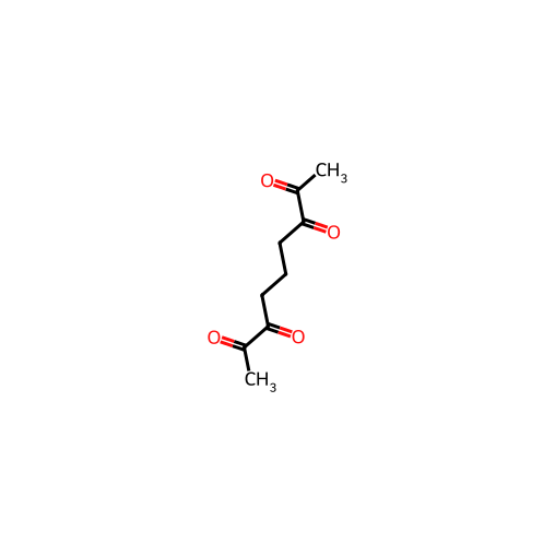 CC(=O)C(=O)CCCC(=O)C(C)=O